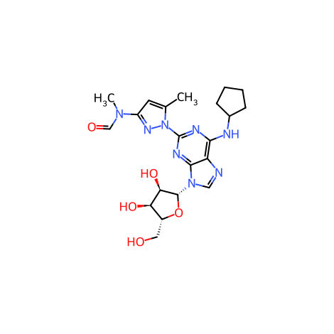 Cc1cc(N(C)C=O)nn1-c1nc(NC2CCCC2)c2ncn([C@@H]3O[C@H](CO)[C@@H](O)[C@H]3O)c2n1